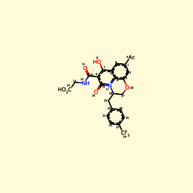 CC(=O)c1cc2c3c(c1)c(O)c(C(=O)NCC(=O)O)c(=O)n3C(Cc1ccc(C(F)(F)F)cc1)CO2